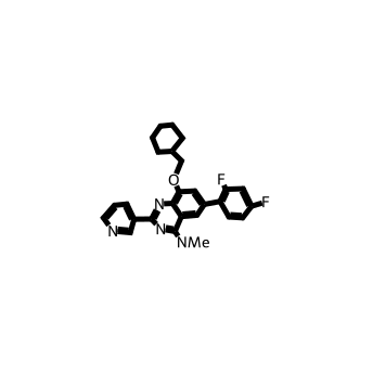 CNc1nc(-c2cccnc2)nc2c(OCC3CCCCC3)cc(-c3ccc(F)cc3F)cc12